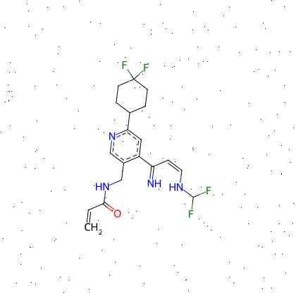 C=CC(=O)NCc1cnc(C2CCC(F)(F)CC2)cc1C(=N)/C=C\NC(F)F